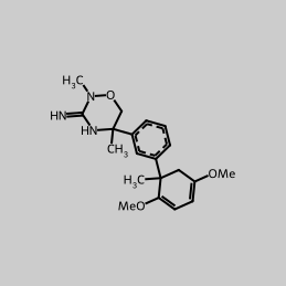 COC1=CC=C(OC)C(C)(c2cccc(C3(C)CON(C)C(=N)N3)c2)C1